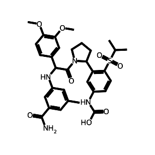 COc1ccc(C(Nc2cc(C)cc(C(N)=O)c2)C(=O)N2CCCC2c2cc(NC(=O)O)ccc2S(=O)(=O)C(C)C)cc1OC